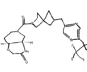 O=C1CO[C@H]2CCN(C(=O)N3CC4(CC(Cc5cnc(C6(C(F)(F)F)CC6)cn5)C4)C3)C[C@H]2N1